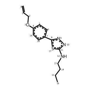 C=CCOc1ccc(-c2nnc(NCCCC)s2)cc1